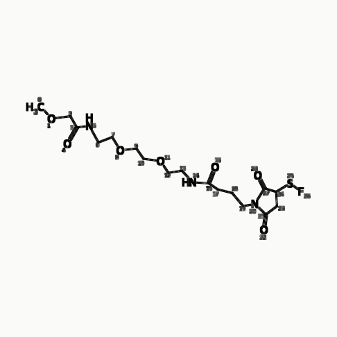 COCC(=O)NCCOCCOCCNC(=O)CCCN1C(=O)CC(SF)C1=O